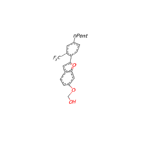 CCCCCc1ccc(-c2cc3ccc(OCO)cc3o2)c(C(F)(F)F)c1